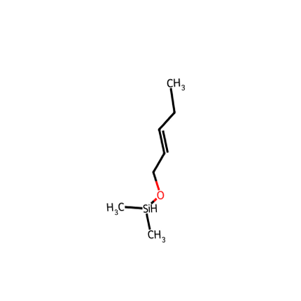 CCC=CCO[SiH](C)C